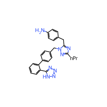 CCCc1nc(Cc2ccc(N)cc2)n(Cc2ccc(-c3ccccc3-c3nnn[nH]3)cc2)n1